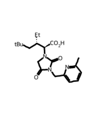 CC[C@@H](CC(C)(C)C)[C@@H](C(=O)O)N1CC(=O)N(Cc2cccc(C)n2)C1=O